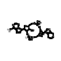 Nc1ncnc2c1ncn2C1OC2COP(=O)(O)OC3C(O)C(COP(=O)(O)OC1C2O)OC3n1cnc2ccccc21